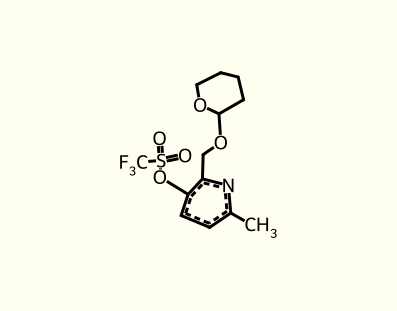 Cc1ccc(OS(=O)(=O)C(F)(F)F)c(COC2CCCCO2)n1